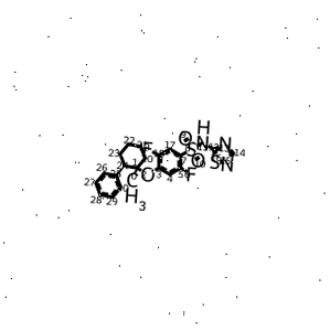 C[C@]1(Oc2cc(F)c(S(=O)(=O)Nc3ncns3)cc2F)CCCC[C@@H]1c1ccccc1